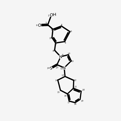 O=C(O)c1cccc(Cn2ccn(C3CCc4ccccc4C3)c2=S)c1